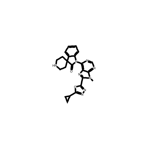 Cn1c(-c2nnc(C3CC3)o2)nc2c(N3C(=O)C4(CCNCC4)c4ccccc43)ncnc21